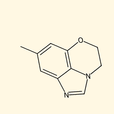 Cc1cc2c3c(c1)ncn3CCO2